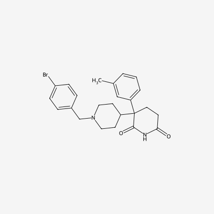 Cc1cccc(C2(C3CCN(Cc4ccc(Br)cc4)CC3)CCC(=O)NC2=O)c1